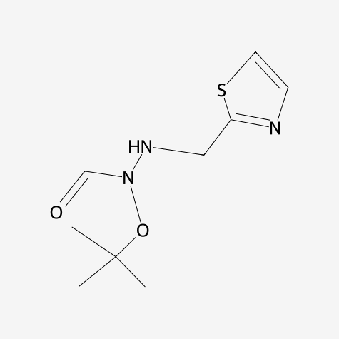 CC(C)(C)ON(C=O)NCc1nccs1